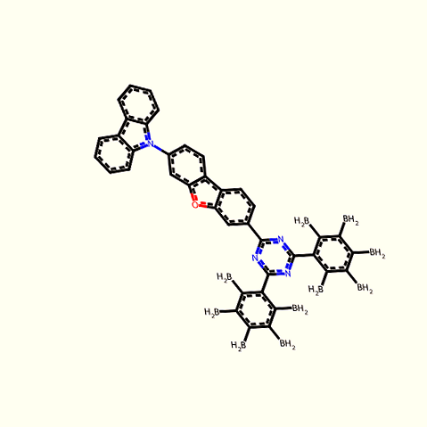 Bc1c(B)c(B)c(-c2nc(-c3ccc4c(c3)oc3cc(-n5c6ccccc6c6ccccc65)ccc34)nc(-c3c(B)c(B)c(B)c(B)c3B)n2)c(B)c1B